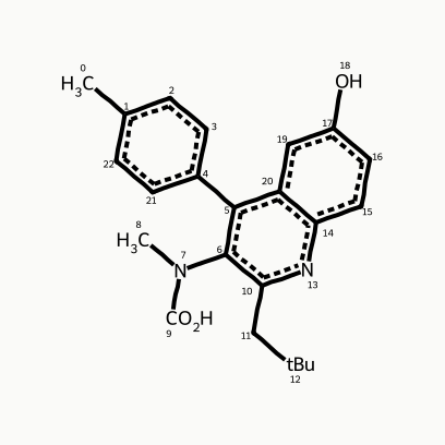 Cc1ccc(-c2c(N(C)C(=O)O)c(CC(C)(C)C)nc3ccc(O)cc23)cc1